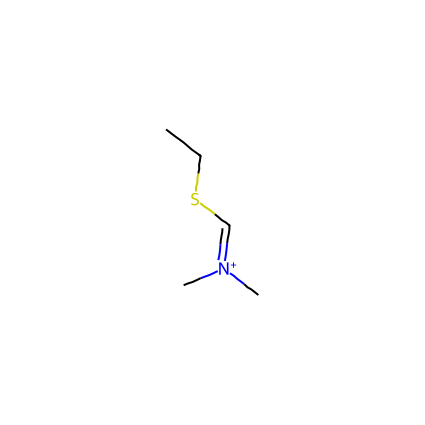 CCSC=[N+](C)C